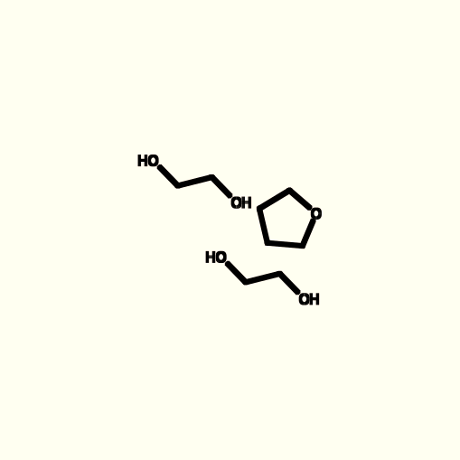 C1CCOC1.OCCO.OCCO